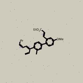 C=C/C(=C\C=C/C(C)C)c1ccc(-c2ccc(OC)cc2/C=C/C(=O)OCC)cc1C